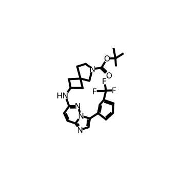 CC(C)(C)OC(=O)N1CCC2(CC(Nc3ccc4ncc(-c5cccc(C(F)(F)F)c5)n4n3)C2)C1